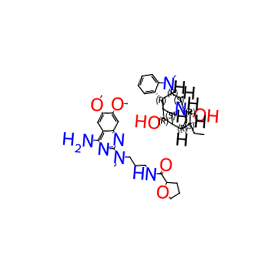 CC[C@H]1[C@@H]2C[C@H]3[C@@H]4N(C)c5ccccc5[C@]45C[C@@H](C2[C@H]5O)N3[C@@H]1O.COc1cc2nc(N(C)CCCNC(=O)C3CCCO3)nc(N)c2cc1OC